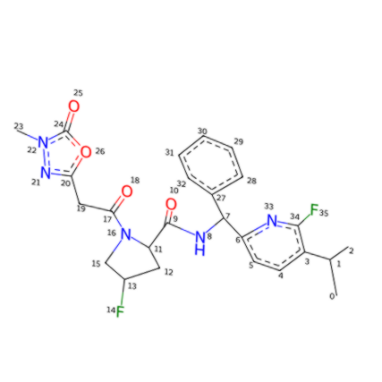 CC(C)c1ccc(C(NC(=O)C2CC(F)CN2C(=O)Cc2nn(C)c(=O)o2)c2ccccc2)nc1F